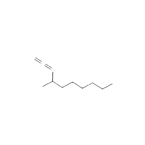 CCCCCCC(C)N=C=S